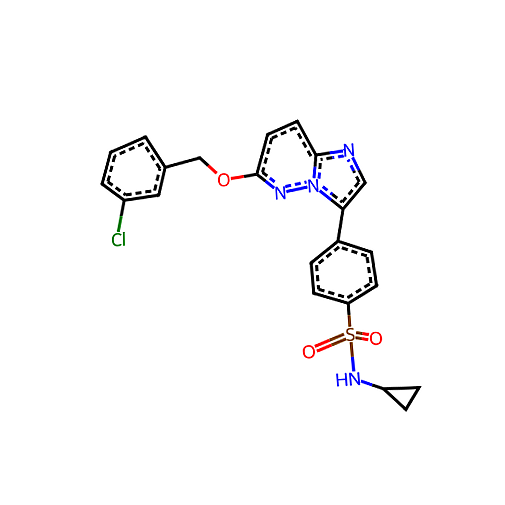 O=S(=O)(NC1CC1)c1ccc(-c2cnc3ccc(OCc4cccc(Cl)c4)nn23)cc1